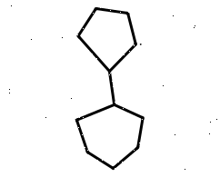 [CH]1CCCC1C1CCCCC1